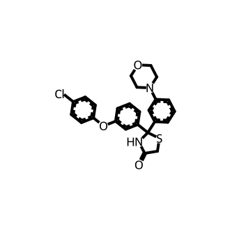 O=C1CSC(c2cccc(Oc3ccc(Cl)cc3)c2)(c2cccc(N3CCOCC3)c2)N1